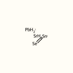 [PbH2].[Se]=[Sn].[SrH2]